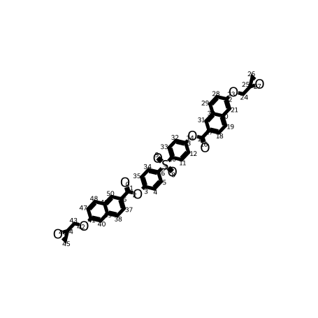 O=C(Oc1ccc(S(=O)(=O)c2ccc(OC(=O)c3ccc4cc(OCC5CO5)ccc4c3)cc2)cc1)c1ccc2cc(OCC3CO3)ccc2c1